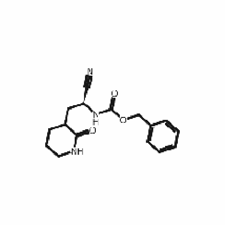 N#C[C@H](CC1CCCNC1=O)NC(=O)OCc1ccccc1